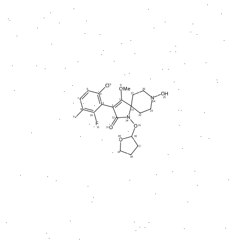 COC1=C(c2c(Cl)ccc(C)c2F)C(=O)N(OC2CCCO2)C12CCN(O)CC2